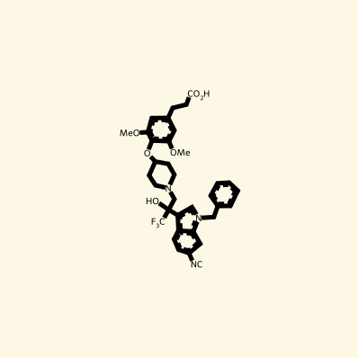 [C-]#[N+]c1ccc2c(C(O)(CN3CCC(Oc4c(OC)cc(CCC(=O)O)cc4OC)CC3)C(F)(F)F)cn(Cc3ccccc3)c2c1